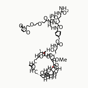 C=C1C[C@@H]2CC[C@@]34C[C@H]5O[C@H]6[C@@H](O3)[C@H]3O[C@H](CC[C@@H]3O[C@H]6[C@H]5O4)CC(=O)C[C@@H]3[C@@H](OC)[C@@H](C[C@H](O)CNC(=O)OCc4ccc(NC(=O)[C@H](CCCNC(N)=O)NC(=O)[C@@H](NC(=O)CCOCCOCCN5C(=O)C=CC5=O)C(C)C)cc4)O[C@H]3C[C@H]3O[C@@H](CC[C@@H]1O2)C[C@@H](C)C3=C